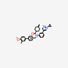 C=C1CCC(C(=O)N(CC23CCC(c4ccc(OC)c(C)c4)(CC2)CC3)c2cccc(-c3cnn(C4CC4)c3)c2)CC1